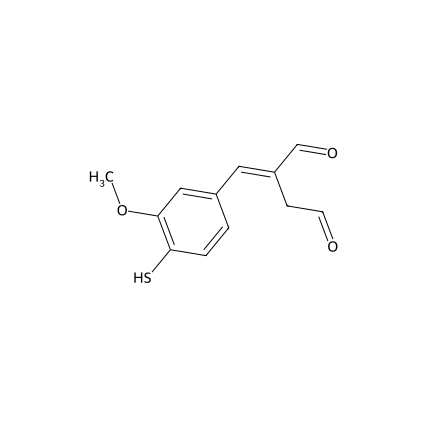 COc1cc(/C=C(/C=O)CC=O)ccc1S